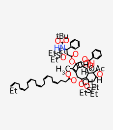 CC/C=C\C/C=C\C/C=C\C/C=C\C/C=C\C/C=C\CCC(=O)O[C@H]1C(=O)[C@]2(C)[C@@H](O[Si](CC)(CC)CC)C[C@H]3OC[C@@]3(OC(C)=O)[C@H]2[C@H](OC(=O)c2ccccc2)[C@]2(O)CC3(OC(=O)[C@H](O[Si](CC)(CC)CC)C(NC(=O)OC(C)(C)C)c4ccccc4)C(C)=C1[C@@]32C